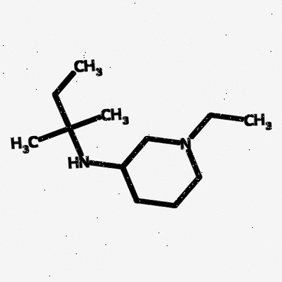 CCN1CCCC(NC(C)(C)CC)C1